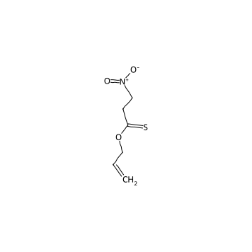 C=CCOC(=S)CC[N+](=O)[O-]